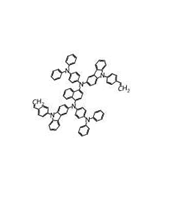 C=Cc1ccc(-n2c3ccccc3c3cc(N(c4ccc(N(c5ccccc5)c5ccccc5)cc4)c4ccc(N(c5ccc(N(c6ccccc6)c6ccccc6)cc5)c5ccc6c(c5)c5ccccc5n6-c5ccc(C=C)cc5)c5ccccc45)ccc32)cc1